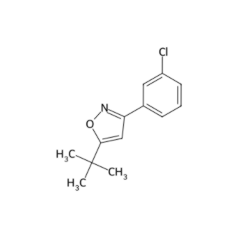 CC(C)(C)c1cc(-c2cccc(Cl)c2)no1